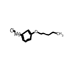 CCCCCOc1ccc[c]([Mg][Cl])c1